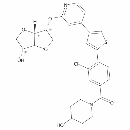 O=C(c1ccc(-c2cc(-c3ccnc(O[C@@H]4COC5[C@H](O)CO[C@@H]54)c3)cs2)c(Cl)c1)N1CCC(O)CC1